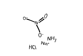 Cl.N.O=[N+]([O-])[O-].[Na+]